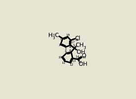 Cc1ccc(C(C)(O)c2ccccc2C(=O)O)c(Cl)c1